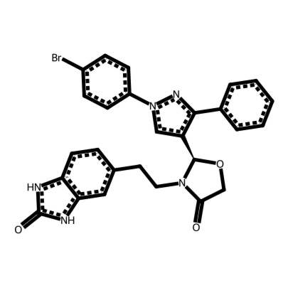 O=C1CO[C@H](c2cn(-c3ccc(Br)cc3)nc2-c2ccccc2)N1CCc1ccc2[nH]c(=O)[nH]c2c1